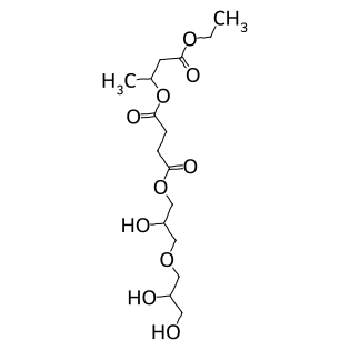 CCOC(=O)CC(C)OC(=O)CCC(=O)OCC(O)COCC(O)CO